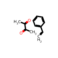 C=Cc1ccccc1.CC(=O)C(C)=O